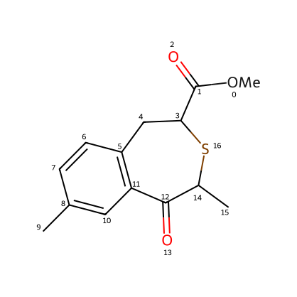 COC(=O)C1Cc2ccc(C)cc2C(=O)C(C)S1